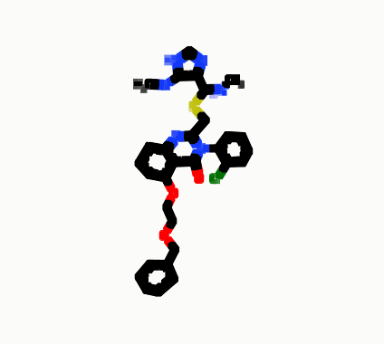 C=Nc1[nH]cnc1/C(=N\C)SCc1nc2cccc(OCCOCc3ccccc3)c2c(=O)n1-c1ccccc1Cl